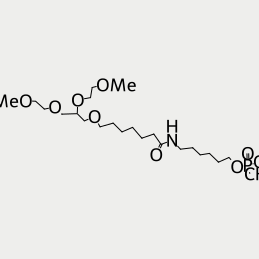 COCCOCC(COCCCCCCC(=O)NCCCCCCOP(C)(=O)O)OCCOC